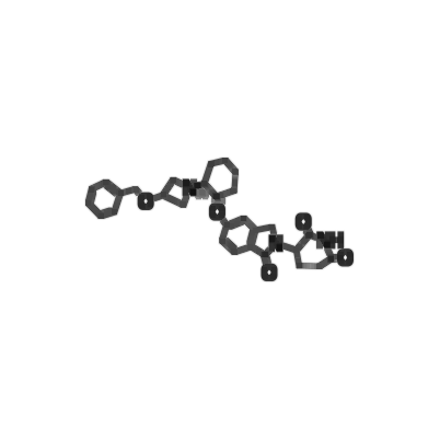 O=C1CCC(N2Cc3cc(O[C@H]4CCCC[C@@H]4N4CC(OCc5ccccc5)C4)ccc3C2=O)C(=O)N1